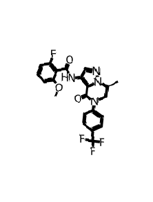 COc1cccc(F)c1C(=O)Nc1cnn2c1C(=O)N(c1ccc(C(F)(F)F)cc1)C[C@@H]2C